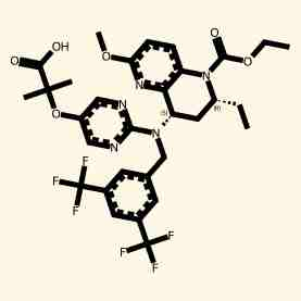 CCOC(=O)N1c2ccc(OC)nc2[C@@H](N(Cc2cc(C(F)(F)F)cc(C(F)(F)F)c2)c2ncc(OC(C)(C)C(=O)O)cn2)C[C@H]1CC